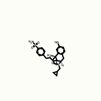 N[C@@]12CCN(CC3CC3)[C@H](Cc3ccc(O)cc31)[C@@H]2NCCc1ccc(S(N)(=O)=O)cc1